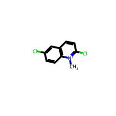 C[n+]1c(Cl)ccc2cc(Cl)ccc21